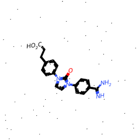 N=C(N)c1ccc(-n2ccn(-c3ccc(CCC(=O)O)cc3)c2=O)cc1